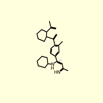 C=C(C)C1CCCCC1C(=C)c1ccc(/C(=C/C(C)=N)NC2CCCCC2)cc1C